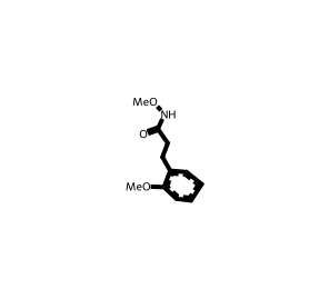 CONC(=O)CCc1ccccc1OC